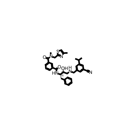 Cc1csc(CN(C)C(=O)c2cccc(C(=O)N[C@@H](Cc3ccccc3)[C@H](O)CNCc3cc(C#N)cc(C(C)C)c3)c2)n1